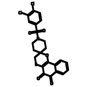 O=C1C(=O)c2ccccc2C2=C1SCC1(CCN(S(=O)(=O)c3ccc(Cl)c(Cl)c3)CC1)O2